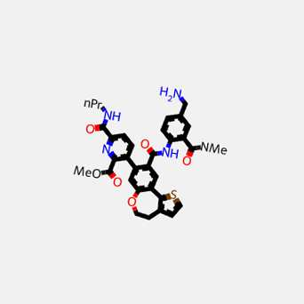 CCCNC(=O)c1ccc(-c2cc3c(cc2C(=O)Nc2ccc(CN)cc2C(=O)NC)-c2sccc2CCO3)c(C(=O)OC)n1